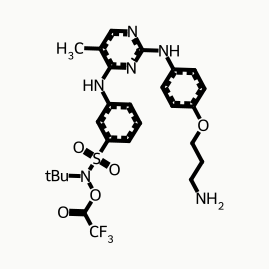 Cc1cnc(Nc2ccc(OCCCN)cc2)nc1Nc1cccc(S(=O)(=O)N(OC(=O)C(F)(F)F)C(C)(C)C)c1